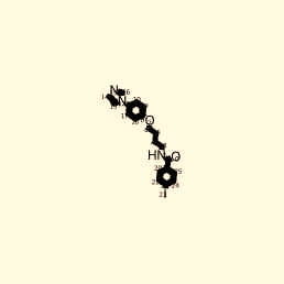 O=C(NCCCCOc1ccc(-n2ccnc2)cc1)c1ccc(I)cc1